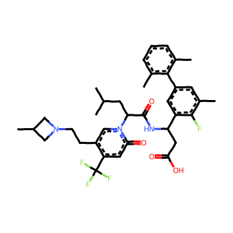 Cc1cc(-c2c(C)cccc2C)cc(C(CC(=O)O)NC(=O)C(CC(C)C)n2cc(CCN3CC(C)C3)c(C(F)(F)F)cc2=O)c1F